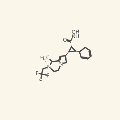 CC1C2=CC([C@H]3[C@H](C(=O)NO)[C@@H]3C3C=CC=CC3)CN2CCN1CC(F)(F)F